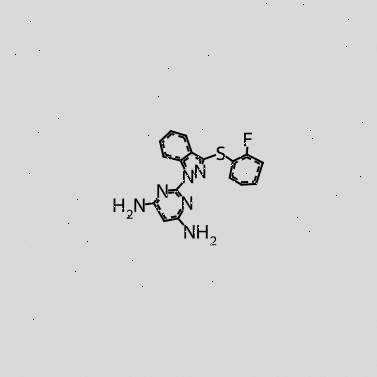 Nc1cc(N)nc(-n2nc(Sc3ccccc3F)c3ccccc32)n1